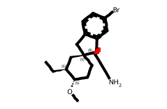 CC[C@H]1C[C@@]2(CC[C@@H]1OC)Cc1ccc(Br)cc1[C@@]21COC(N)=N1